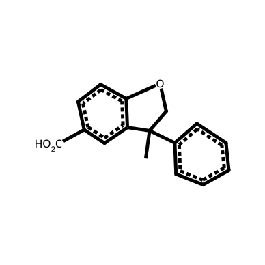 CC1(c2ccccc2)COc2ccc(C(=O)O)cc21